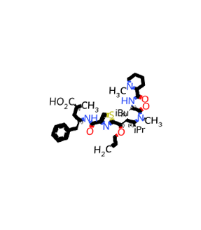 C=CCO[C@H](C[C@H](C(C)C)N(C)C(=O)[C@@H](NC(=O)C1CCCCN1C)[C@@H](C)CC)c1nc(C(=O)N[C@@H](Cc2ccccc2)C[C@H](C)C(=O)O)cs1